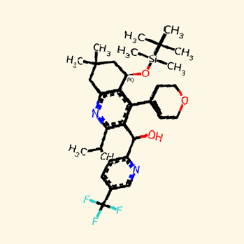 CC(C)c1nc2c(c(C3=CCOCC3)c1C(O)c1ccc(C(F)(F)F)cn1)[C@H](O[Si](C)(C)C(C)(C)C)CC(C)(C)C2